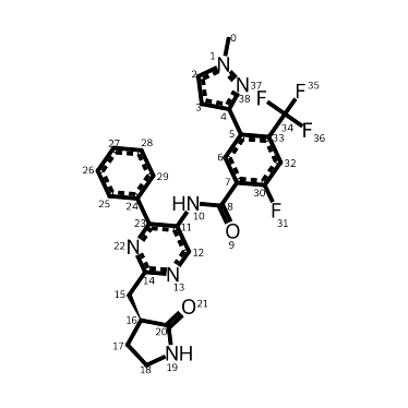 Cn1ccc(-c2cc(C(=O)Nc3cnc(C[C@@H]4CCNC4=O)nc3-c3ccccc3)c(F)cc2C(F)(F)F)n1